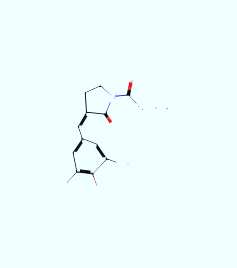 CN(O)C(=O)N1CCC(=Cc2cc(C(C)(C)C)c(O)c(C(C)(C)C)c2)C1=O